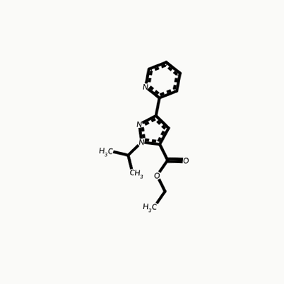 CCOC(=O)c1cc(-c2ccccn2)nn1C(C)C